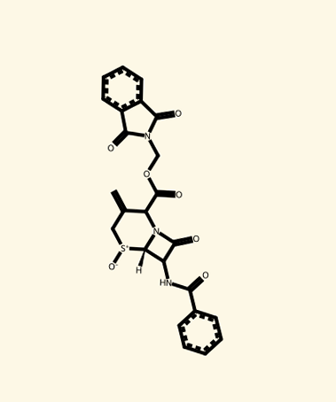 C=C1C[S+]([O-])[C@H]2C(NC(=O)c3ccccc3)C(=O)N2C1C(=O)OCN1C(=O)c2ccccc2C1=O